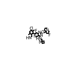 Cc1cc(Cl)c(C)c(-c2ncc3c(NCC4(N(C)C)CCC4)nc(OCC45CCCN4C[C@H](F)C5)nc3c2F)c1C=N